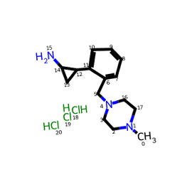 CN1CCN(Cc2ccccc2C2CC2N)CC1.Cl.Cl.Cl